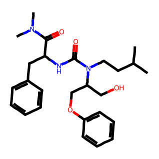 CC(C)CCN(C(=O)NC(Cc1ccccc1)C(=O)N(C)C)C(CO)COc1ccccc1